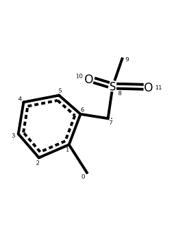 Cc1ccccc1[CH]S(C)(=O)=O